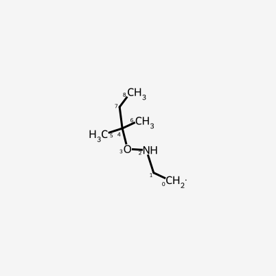 [CH2]CNOC(C)(C)CC